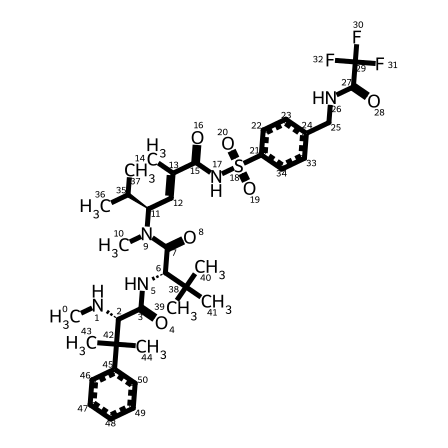 CN[C@H](C(=O)N[C@H](C(=O)N(C)[C@H](C=C(C)C(=O)NS(=O)(=O)c1ccc(CNC(=O)C(F)(F)F)cc1)C(C)C)C(C)(C)C)C(C)(C)c1ccccc1